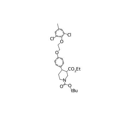 CCOC(=O)C1CN(C(=O)OC(C)(C)C)CCC1c1ccc(OCCOc2c(Cl)cc(C)cc2Cl)cc1